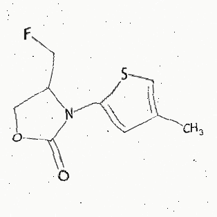 Cc1csc(N2C(=O)OCC2CF)c1